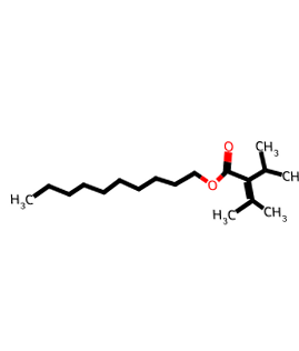 CCCCCCCCCCOC(=O)C(=C(C)C)C(C)C